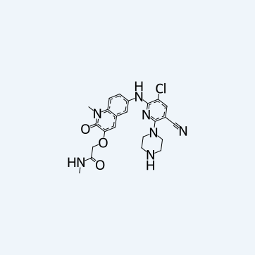 CNC(=O)COc1cc2cc(Nc3nc(N4CCNCC4)c(C#N)cc3Cl)ccc2n(C)c1=O